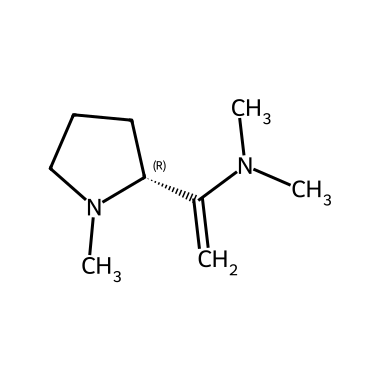 C=C([C@H]1CCCN1C)N(C)C